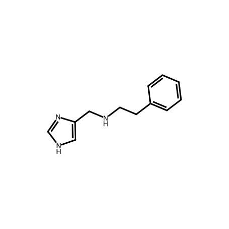 c1ccc(CCNCc2c[nH]cn2)cc1